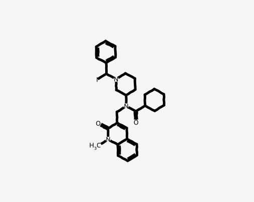 Cn1c(=O)c(CN(C(=O)C2CCCCC2)C2CCCN(C(I)c3ccccc3)C2)cc2ccccc21